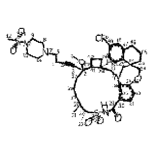 CO[C@@]1(C#CCCN2CCN(S(C)(=O)=O)CC2)CCC[C@H](C)[C@@H](C)S(=O)(=O)NC(=O)c2ccc3c(c2)N(C[C@@H]2CC[C@H]21)C[C@@]1(CCCc2cc(Cl)ccc21)CO3